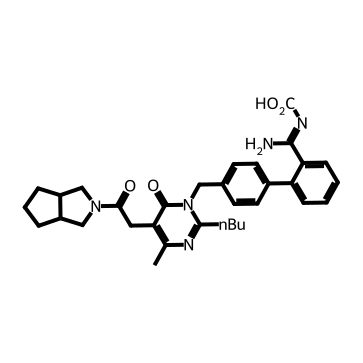 CCCCc1nc(C)c(CC(=O)N2CC3CCCC3C2)c(=O)n1Cc1ccc(-c2ccccc2/C(N)=N/C(=O)O)cc1